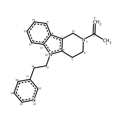 C=C(C)N1CCc2c(c3ccccc3n2CCc2cccnc2)C1